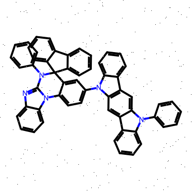 c1ccc(N2c3nc4ccccc4n3-c3ccc(-n4c5ccccc5c5cc6c(cc54)c4ccccc4n6-c4ccccc4)cc3C23c2ccccc2-c2ccccc23)cc1